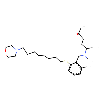 CNC(=O)CCC(C=O)N(C)Cc1c(C=O)cccc1SCCCCCCCCN1CCOCC1